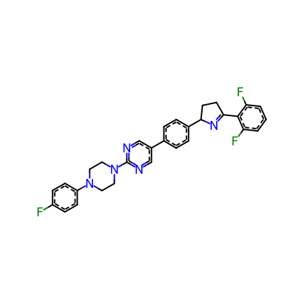 Fc1ccc(N2CCN(c3ncc(-c4ccc(C5CCC(c6c(F)cccc6F)=N5)cc4)cn3)CC2)cc1